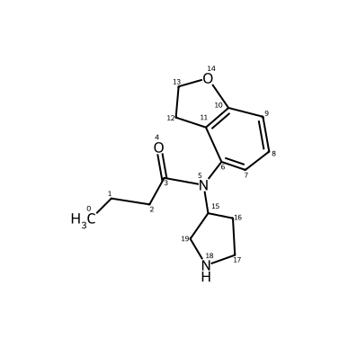 CCCC(=O)N(c1cccc2c1CCO2)C1CCNC1